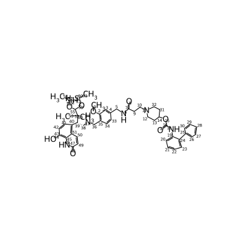 COc1cc(CNC(=O)CCN2CCC(OC(=O)Nc3ccccc3-c3ccccc3)CC2)ccc1CNC[C@H](c1ccc(O)c2[nH]c(=O)ccc12)C(C)(C)C(O[SiH2]C)O[SiH2]C